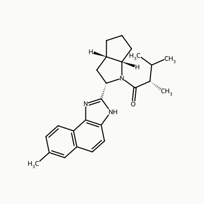 Cc1ccc2c(ccc3[nH]c([C@@H]4C[C@@H]5CCC[C@@H]5N4C(=O)[C@@H](C)C(C)C)nc32)c1